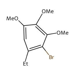 CCc1cc(OC)c(OC)c(OC)c1Br